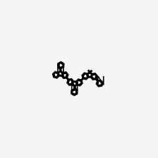 CC1(C)c2ccc(-c3ccc4c(c3)c3cc(-c5ccc6c(c5)c5ccccc5n6-c5ccccc5)ccc3n4-c3ccccc3)cc2-c2cc(-c3ccccn3)ccc21